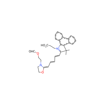 CC1(C)C(/C=C/C=C/C=C2/OCCN2CCOC=O)=[N+](CCC(=O)O)c2c1c1ccccc1c1ccccc21